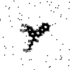 CSCCNC(=O)c1cc2c(nc(C)n2C)c2c1CCC1(Cc3ccccc3C1)O2